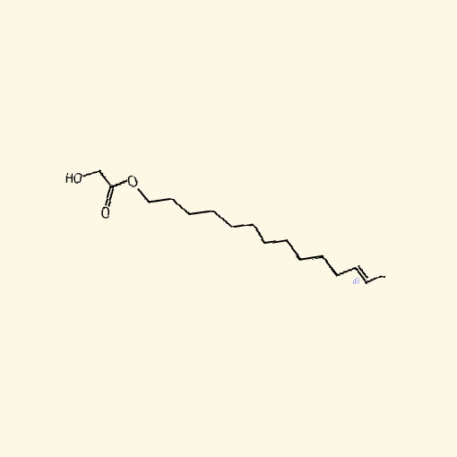 C/C=C/CCCCCCCCCCCOC(=O)CO